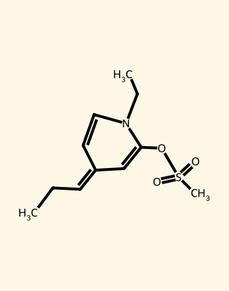 CCC=C1C=CN(CC)C(OS(C)(=O)=O)=C1